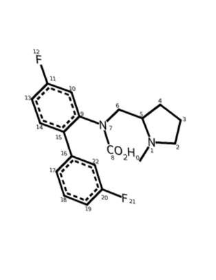 CN1CCCC1CN(C(=O)O)c1cc(F)ccc1-c1cccc(F)c1